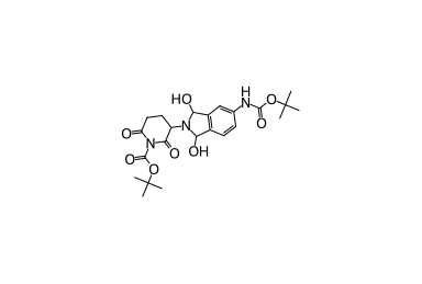 CC(C)(C)OC(=O)Nc1ccc2c(c1)C(O)N(C1CCC(=O)N(C(=O)OC(C)(C)C)C1=O)C2O